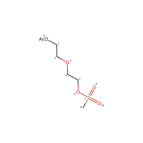 CC(=O)OCCOCCOS(C)(=O)=O